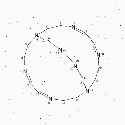 C1=NCCN2CCN=CC=NCCN(CCN=C1)CCN=CC=NCC2